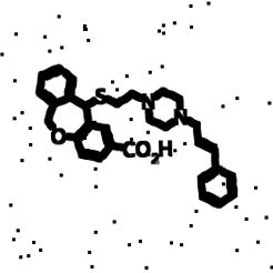 O=C(O)c1ccc2c(c1)C(SCCN1CCN(CC=Cc3ccccc3)CC1)c1ccccc1CO2